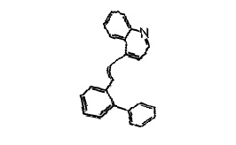 C(=Cc1ccnc2ccccc12)c1ccccc1-c1ccccc1